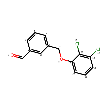 O=Cc1cccc(COc2cccc(Cl)c2Cl)c1